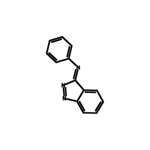 c1ccc(N=C2N=Nc3ccccc32)cc1